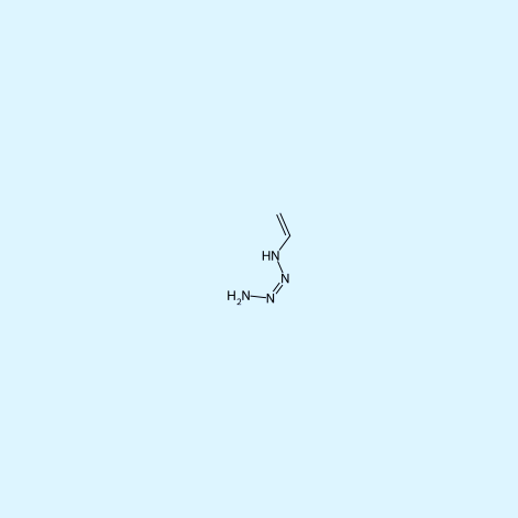 C=CN/N=N\N